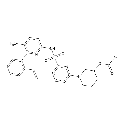 C=Cc1ccccc1-c1nc(NS(=O)(=O)c2cccc(N3CCCC(OC(=O)CC)C3)n2)ccc1C(F)(F)F